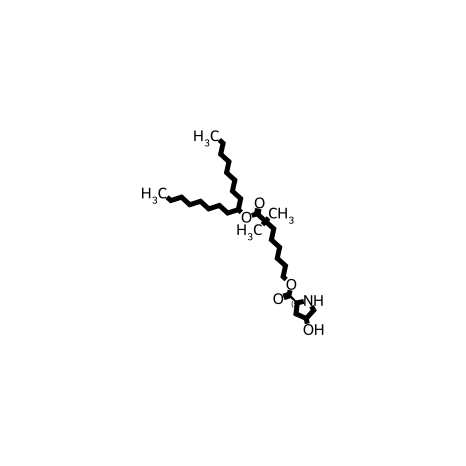 CCCCCCCCC(CCCCCCCC)OC(=O)C(C)(C)CCCCCCOC(=O)[C@@H]1CC(O)CN1